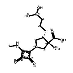 CNc1c(N2C[C@H](CCCB(O)O)[C@](N)(C(=O)O)C2)c(=O)c1=O